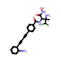 CC(N)(C(F)F)C(NC(=O)c1ccc(C#CC#Cc2ccccc2N)cc1)C(=O)NO